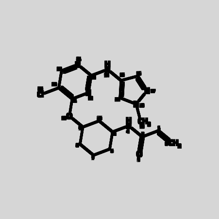 C=CC(=O)NC1CCCC(Oc2nc(Nc3cnn(C)c3)ncc2Cl)C1